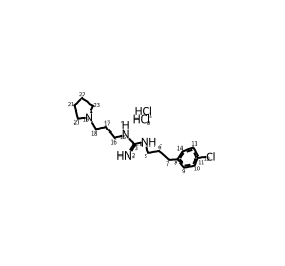 Cl.Cl.N=C(NCCCc1ccc(Cl)cc1)NCCCN1CCCC1